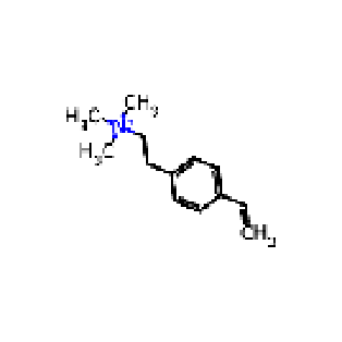 C=Cc1ccc(CC[N+](C)(C)C)cc1